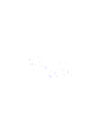 CC(C)(C)OC(=O)N1CCc2c(nc(Cl)nc2Oc2ccc(F)cc2C(F)F)C1